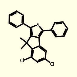 CC1(C)c2c(Cl)cc(Cl)cc2-c2c(-c3ccccc3)sc(-c3ccccc3)c21